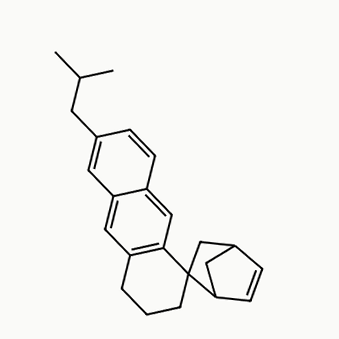 CC(C)Cc1ccc2cc3c(cc2c1)CCCC31CC2C=CC1C2